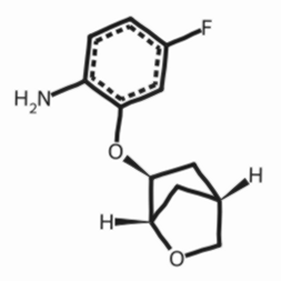 Nc1ccc(F)cc1O[C@H]1C[C@@H]2CO[C@H]1C2